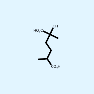 CC(CCC(C)(O)C(=O)O)C(=O)O